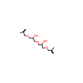 C=C(C)COCC(O)COCC(O)COCC(=C)C